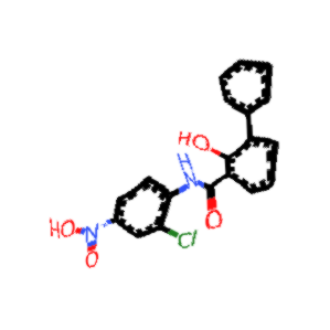 O=C(Nc1ccc([N+](=O)O)cc1Cl)c1cccc(-c2ccccc2)c1O